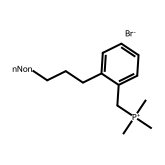 CCCCCCCCCCCCc1ccccc1C[P+](C)(C)C.[Br-]